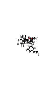 Cc1cc(Oc2nc(N[C@@H]3[C@@H]4CC[C@H]3CN(c3nnc(C)o3)C4)nn2C(C)C)cc(C(F)(F)F)c1